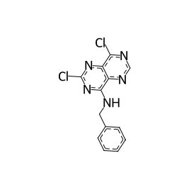 Clc1nc(NCc2ccccc2)c2ncnc(Cl)c2n1